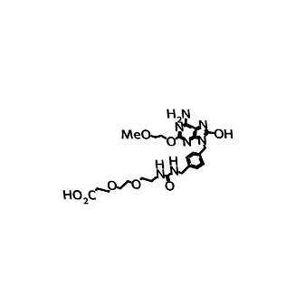 COCCOc1nc(N)c2nc(O)n(Cc3ccc(CNC(=O)NCCOCCOCCC(=O)O)cc3)c2n1